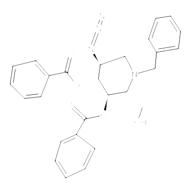 [N-]=[N+]=N[C@H]1CN(Cc2ccccc2)[C@H](CO)[C@@H](OC(=O)c2ccccc2)[C@@H]1OC(=O)c1ccccc1